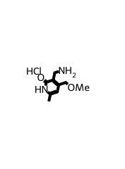 COCc1cc(C)[nH]c(=O)c1CN.Cl